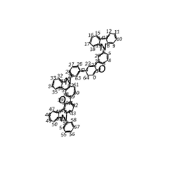 C1=c2oc3ccc(-n4c5ccccc5c5ccccc54)cc3c2=CC(c2cccc(-n3c4ccccc4c4c5oc6c(ccc7c6c6ccccc6n7-c6ccccc6)c5ccc43)c2)C1